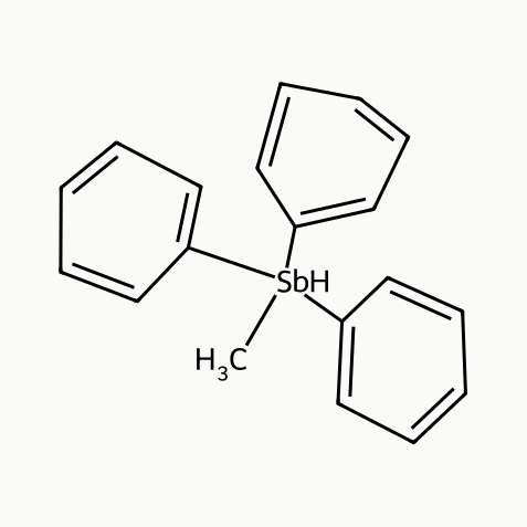 [CH3][SbH]([c]1ccccc1)([c]1ccccc1)[c]1ccccc1